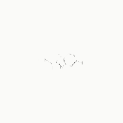 NNc1nc2cc(F)ccc2o1